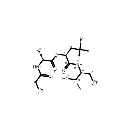 CC(C)CC(=O)N[C@H](C(=O)N[C@@H](CC(C)(F)F)C(=O)N[C@@H](CC(C)C)[C@H](C)O)C(C)C